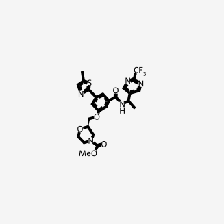 COC(=O)N1CCO[C@@H](COc2cc(C(=O)NC(C)c3cnc(C(F)(F)F)nc3)cc(-c3ncc(C)s3)c2)C1